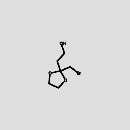 OCCC1(CBr)OCCO1